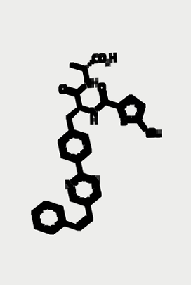 C[C@@H](NC(=O)[C@H](Cc1ccc(-c2ncc(/C=C\c3ccccc3)cn2)cc1)NC(=O)c1ccc(C(C)(C)C)s1)C(=O)O